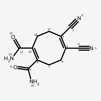 N#C/C1=C(\C#N)CC/C(C(N)=O)=C(/C(N)=O)CC1